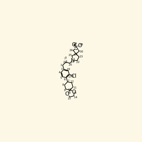 C[C@@H](Cc1ccc(C2CCC3(CC2)OCCO3)c(Cl)c1)CN1CCC2(C1)CS(=O)(=O)C2